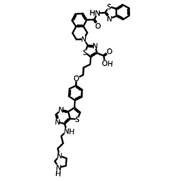 O=C(Nc1nc2ccccc2s1)c1cccc2c1CN(c1nc(C(=O)O)c(CCCOc3ccc(-c4csc5c(NCCCN6CCNC6)ncnc45)cc3)s1)CC2